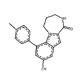 Cc1ccc(-c2cc(C#N)cc3cc4n(c23)CCCNC4=O)cc1